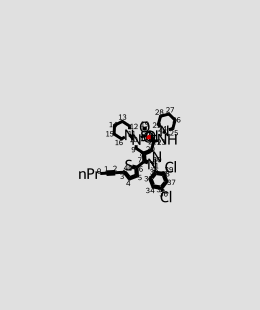 CCCC#Cc1ccc(-c2c(CN(N3CCCCC3)[SH](=O)=O)c(C(=O)NN3CCCCC3)nn2-c2ccc(Cl)cc2Cl)s1